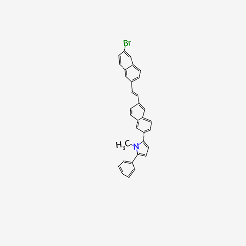 Cn1c(-c2ccccc2)ccc1-c1ccc2cc(/C=C/c3ccc4cc(Br)ccc4c3)ccc2c1